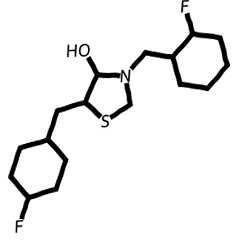 OC1C(CC2CCC(F)CC2)SCN1CC1CCCCC1F